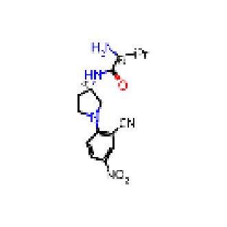 CC(C)[C@H](N)C(=O)N[C@H]1CCN(c2ccc([N+](=O)[O-])cc2C#N)C1